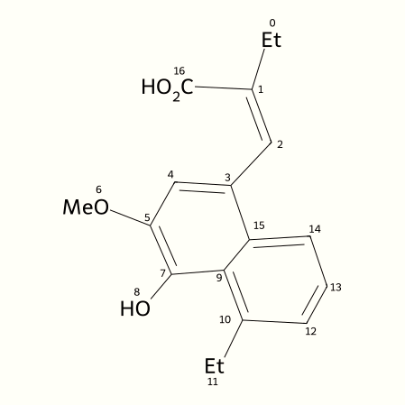 CC/C(=C/c1cc(OC)c(O)c2c(CC)cccc12)C(=O)O